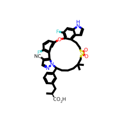 C[C@@H](Cc1cccc(C2CCCC(C)(C)CS(=O)(=O)CCc3c(c(F)cc4[nH]ccc34)Oc3ccc(F)c(c3)-c3c(C#N)cnn32)c1)C(=O)O